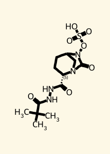 CC(C)(C)C(=O)NNC(=O)[C@@H]1CCC2CN1C(=O)N2OS(=O)(=O)O